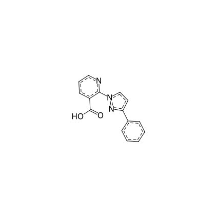 O=C(O)c1cccnc1-n1ccc(-c2ccccc2)n1